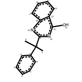 CC(C)(c1ccccc1)c1nc(O)c2ccccc2n1